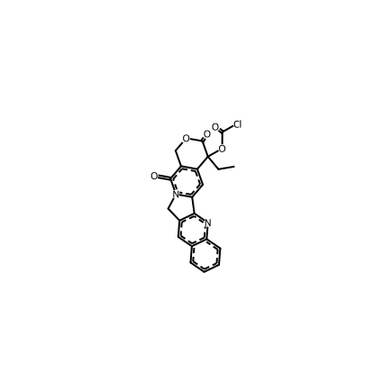 CCC1(OC(=O)Cl)C(=O)OCc2c1cc1n(c2=O)Cc2cc3ccccc3nc2-1